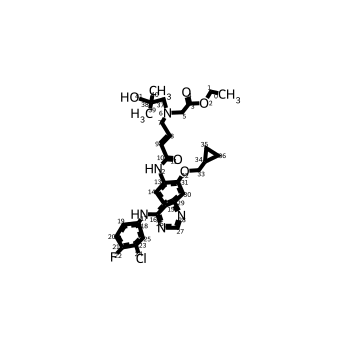 CCOC(=O)CN(CC=CC(=O)Nc1cc2c(Nc3ccc(F)c(Cl)c3)ncnc2cc1OCC1CC1)CC(C)(C)O